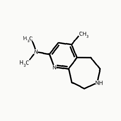 Cc1cc(N(C)C)nc2c1CCNCC2